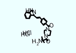 CC(C)(N)C(=O)N1CCN(C(=O)c2ccc(/C=C/c3n[nH]c4ccccc34)cc2)CC1.Cl.Cl